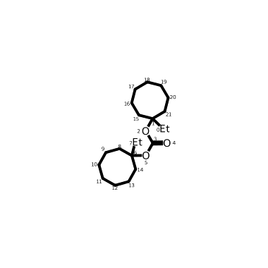 CCC1(OC(=O)OC2(CC)CCCCCCC2)CCCCCCC1